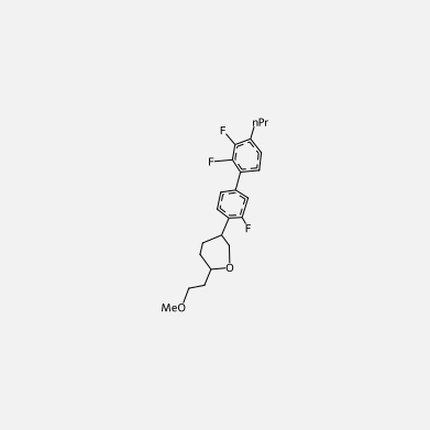 CCCc1ccc(-c2ccc(C3CCC(CCOC)OC3)c(F)c2)c(F)c1F